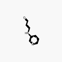 O=CC=CNc1cccnc1